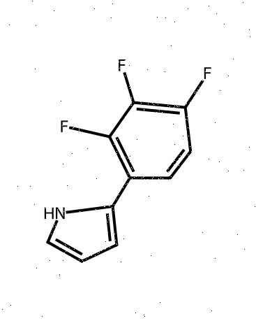 Fc1ccc(-c2ccc[nH]2)c(F)c1F